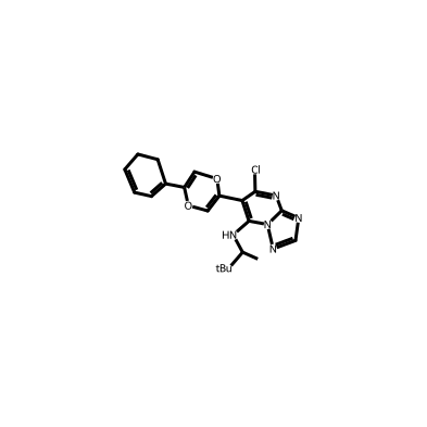 CC(Nc1c(C2=COC(C3=CC=CCC3)=CO2)c(Cl)nc2ncnn12)C(C)(C)C